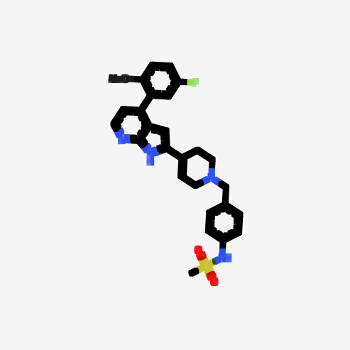 COc1ccc(F)cc1-c1ccnc2[nH]c(C3=CCN(Cc4ccc(NS(C)(=O)=O)cc4)CC3)cc12